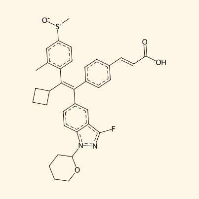 Cc1cc([S+](C)[O-])ccc1/C(=C(\c1ccc(/C=C/C(=O)O)cc1)c1ccc2c(c1)c(F)nn2C1CCCCO1)C1CCC1